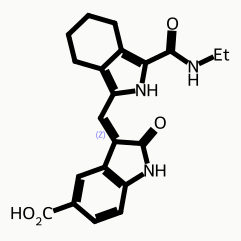 CCNC(=O)c1[nH]c(/C=C2\C(=O)Nc3ccc(C(=O)O)cc32)c2c1CCCC2